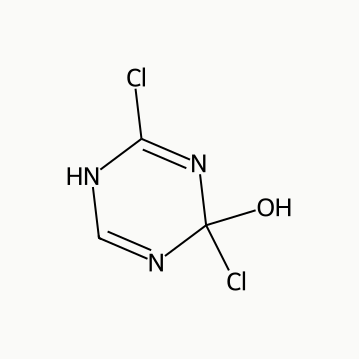 OC1(Cl)N=CNC(Cl)=N1